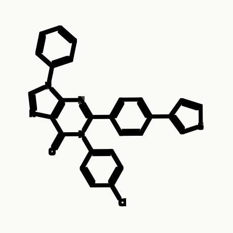 O=c1c2ncn(-c3ccccc3)c2nc(-c2ccc(-c3ccsc3)cc2)n1-c1ccc(Cl)cc1